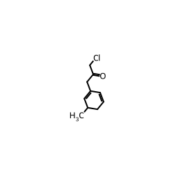 CC1C=C(CC(=O)CCl)C=CC1